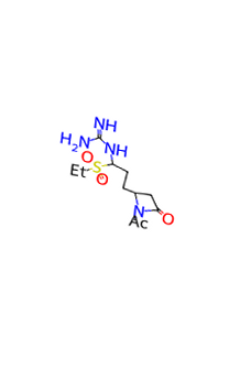 CCS(=O)(=O)C(CCC1CC(=O)N1C(C)=O)NC(=N)N